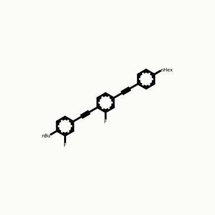 CCCCCCc1ccc(C#Cc2ccc(C#Cc3ccc(CCCC)c(F)c3)c(F)c2)cc1